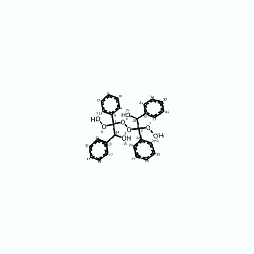 OOC(OOC(OO)(c1ccccc1)C(O)c1ccccc1)(c1ccccc1)C(O)c1ccccc1